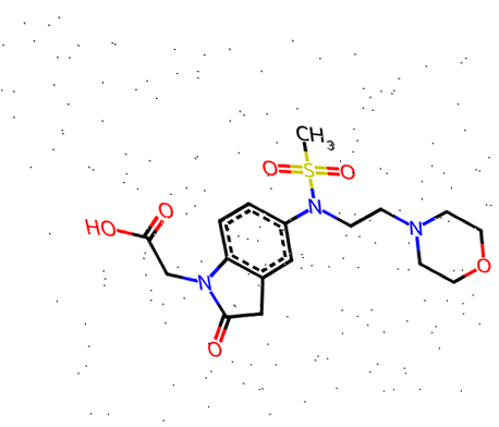 CS(=O)(=O)N(CCN1CCOCC1)c1ccc2c(c1)CC(=O)N2CC(=O)O